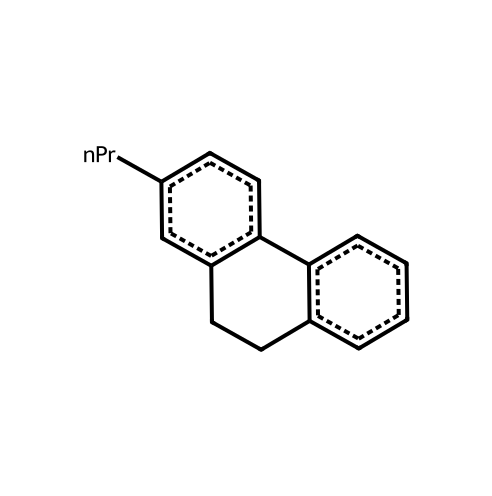 CCCc1ccc2c(c1)CCc1ccccc1-2